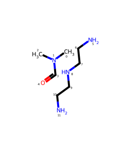 CN(C)C=O.NCCNCCN